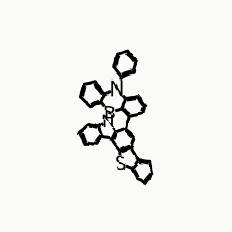 c1ccc(N2c3ccccc3B3c4c(cccc42)-c2cc4c5ccccc5sc4c4c5ccccc5n3c24)cc1